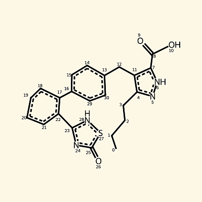 CCCCc1n[nH]c(C(=O)O)c1Cc1ccc(-c2ccccc2-c2nc(=O)s[nH]2)cc1